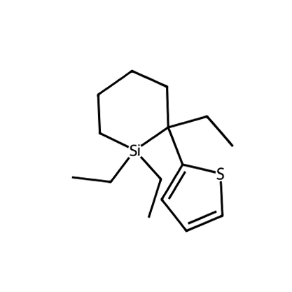 CCC1(c2cccs2)CCCC[Si]1(CC)CC